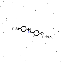 CCCCCCOc1ccc(/C=N/c2ccc(CCCC)cc2)cc1